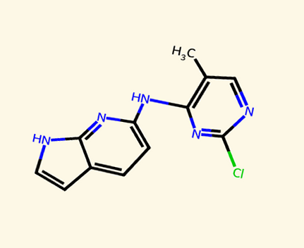 Cc1cnc(Cl)nc1Nc1ccc2cc[nH]c2n1